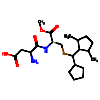 COC(=O)[C@H](CSC(C1CCCC1)C1C(C)CCC1C)NC(=O)[C@@H](N)CC(=O)O